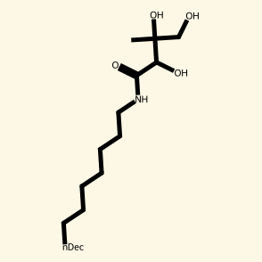 CCCCCCCCCCCCCCCCCNC(=O)C(O)C(C)(O)CO